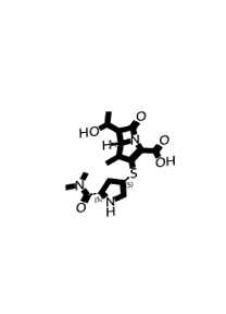 CC(O)C1C(=O)N2C(C(=O)O)=C(S[C@@H]3CN[C@H](C(=O)N(C)C)C3)C(C)[C@H]12